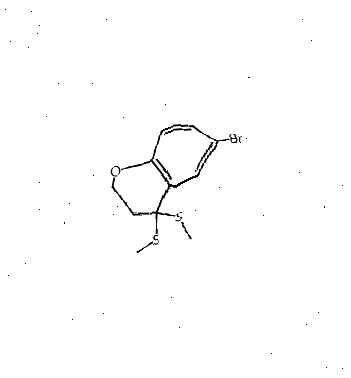 CSC1(SC)CCOc2ccc(Br)cc21